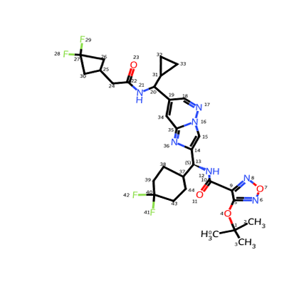 CC(C)(C)Oc1nonc1C(=O)N[C@H](c1cn2ncc(C(NC(=O)CC3CC(F)(F)C3)C3CC3)cc2n1)C1CCC(F)(F)CC1